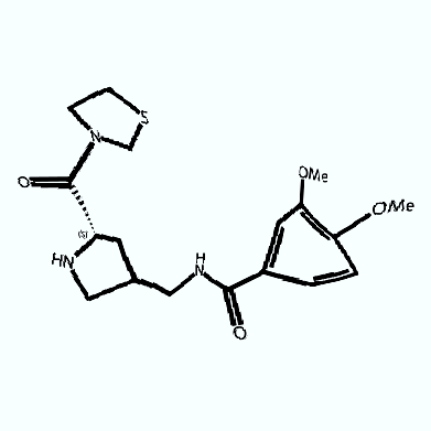 COc1ccc(C(=O)NCC2CN[C@H](C(=O)N3CCSC3)C2)cc1OC